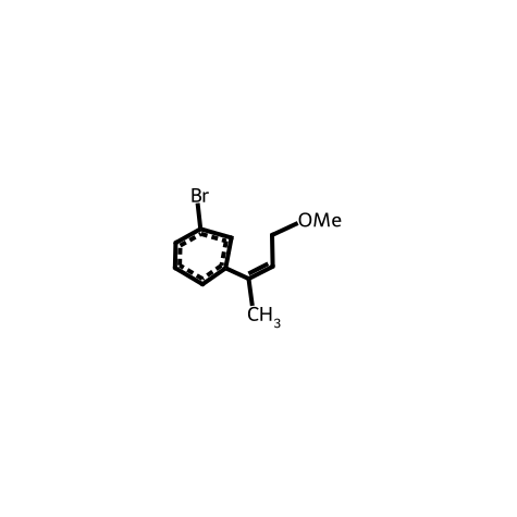 COC/C=C(/C)c1cccc(Br)c1